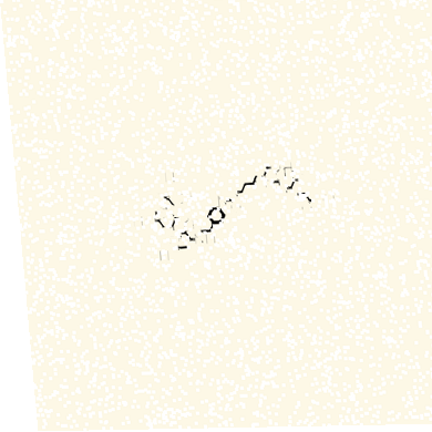 O=C(O)CC[C@H](NC(=O)N[C@@H](CCCCNC(=O)Nc1ccc(CC(=O)N[C@@H](CC(=O)O)C(=O)N[C@@H](CC(=O)O)C(=O)N[C@@H](CS)C(=O)O)cc1)C(=O)O)C(=O)O